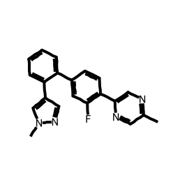 Cc1cnc(-c2ccc(-c3ccccc3-c3cnn(C)c3)cc2F)cn1